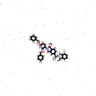 CC1c2cccc(F)c2CN1C(=O)c1ccc2c(c1)CN(c1ccc(OCc3ccccc3)nc1OCc1ccccc1)C2=O